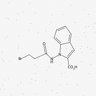 O=C(CCBr)Nn1c(C(=O)O)cc2ccccc21